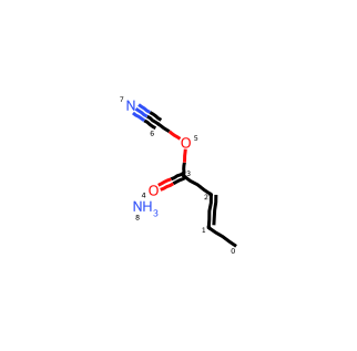 CC=CC(=O)OC#N.N